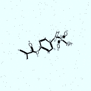 C=C(C)C(=O)Oc1ccc(NS(=O)(=O)CCC)cc1